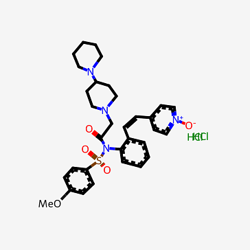 COc1ccc(S(=O)(=O)N(C(=O)CN2CCC(N3CCCCC3)CC2)c2ccccc2C=Cc2cc[n+]([O-])cc2)cc1.Cl.Cl